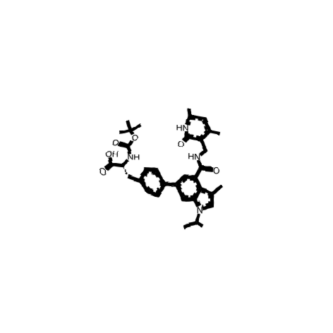 Cc1cc(C)c(CNC(=O)c2cc(-c3ccc(C[C@@H](NC(=O)OC(C)(C)C)C(=O)O)cc3)cc3c2c(C)cn3C(C)C)c(=O)[nH]1